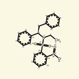 CCN([C@H](Cc1ccccc1)c1ccccc1)S(=O)(=O)c1ccccc1[N+](=O)[O-]